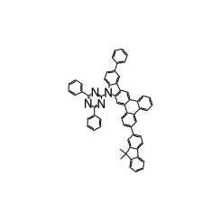 CC1(C)c2ccccc2-c2ccc(-c3ccc4c(c3)c3ccccc3c3cc5c6cc(-c7ccccc7)ccc6n(-c6nc(-c7ccccc7)nc(-c7ccccc7)n6)c5cc43)cc21